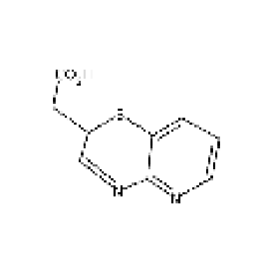 O=C(O)CC1C=Nc2ncccc2S1